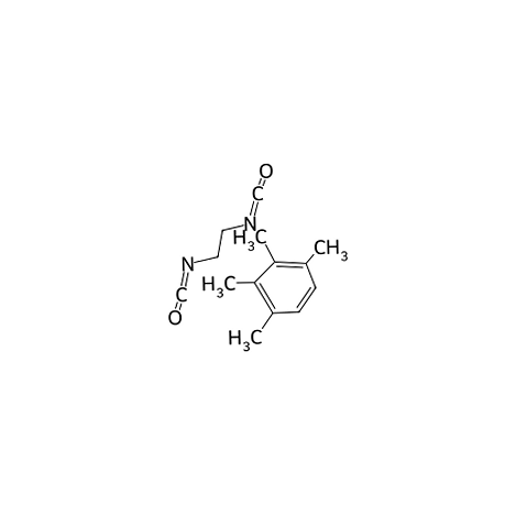 Cc1ccc(C)c(C)c1C.O=C=NCCN=C=O